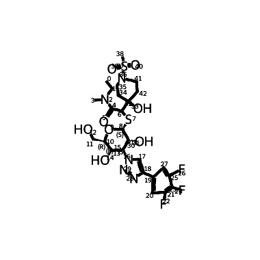 CCN(C)C(=O)C(S[C@@H]1O[C@H](CO)[C@H](O)[C@H](n2cc(-c3cc(F)c(F)c(F)c3)nn2)[C@H]1O)C1(O)CCN(S(C)(=O)=O)CC1